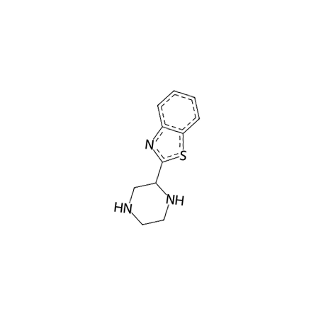 c1ccc2sc(C3CNCCN3)nc2c1